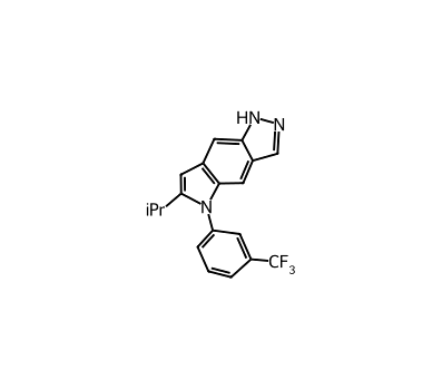 CC(C)c1cc2cc3[nH]ncc3cc2n1-c1cccc(C(F)(F)F)c1